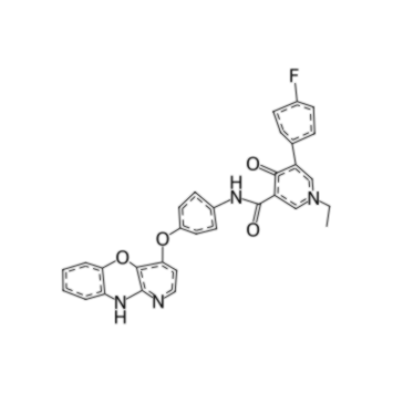 CCn1cc(C(=O)Nc2ccc(Oc3ccnc4c3Oc3ccccc3N4)cc2)c(=O)c(-c2ccc(F)cc2)c1